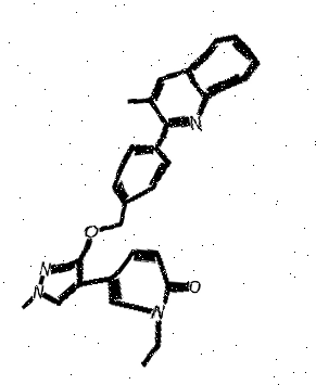 CCn1cc(-c2cn(C)nc2OCc2ccc(-c3nc4ccccc4cc3C)cc2)ccc1=O